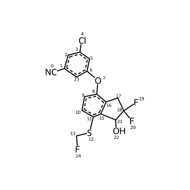 N#Cc1cc(Cl)cc(Oc2ccc(SCF)c3c2CC(F)(F)C3O)c1